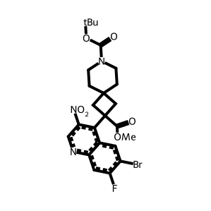 COC(=O)C1(c2c([N+](=O)[O-])cnc3cc(F)c(Br)cc23)CC2(CCN(C(=O)OC(C)(C)C)CC2)C1